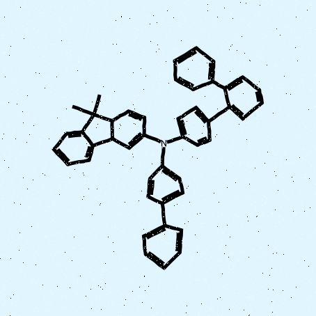 CC1(C)c2ccccc2C2C=C(N(c3ccc(-c4ccccc4)cc3)c3ccc(-c4ccccc4-c4ccccc4)cc3)C=CC21